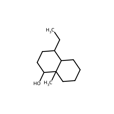 CCC1CCC(O)C2(C)CCCCC12